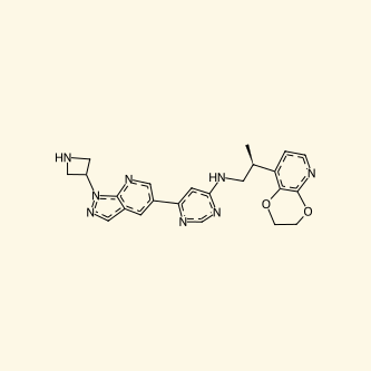 C[C@H](CNc1cc(-c2cnc3c(cnn3C3CNC3)c2)ncn1)c1ccnc2c1OCCO2